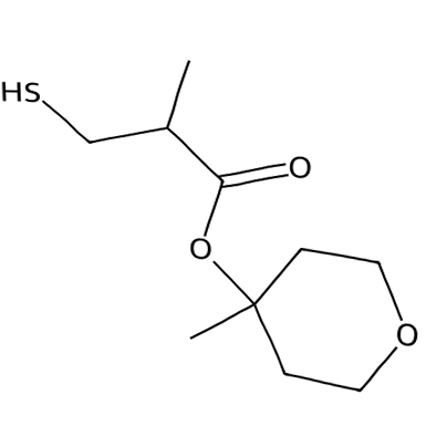 CC(CS)C(=O)OC1(C)CCOCC1